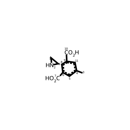 C1CN1.Cc1cc(C(=O)O)cc(C(=O)O)c1